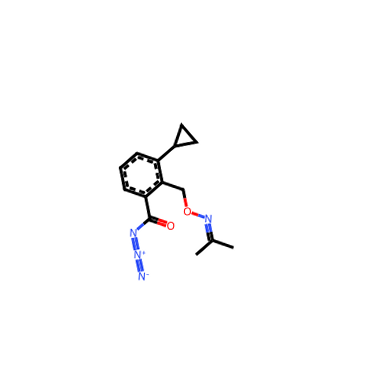 CC(C)=NOCc1c(C(=O)N=[N+]=[N-])cccc1C1CC1